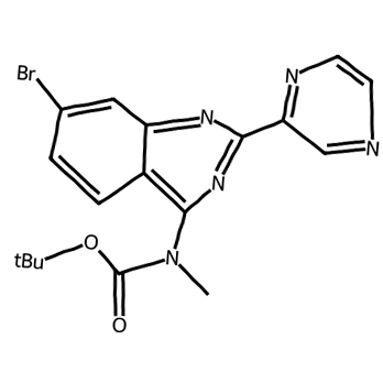 CN(C(=O)OC(C)(C)C)c1nc(-c2cnccn2)nc2cc(Br)ccc12